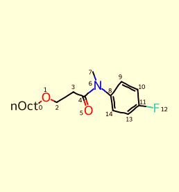 CCCCCCCCOCCC(=O)N(C)c1ccc(F)cc1